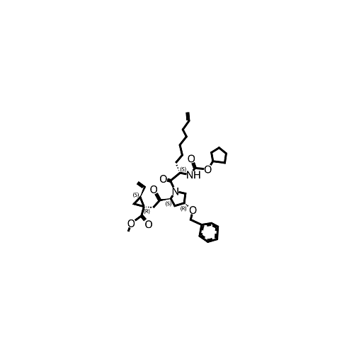 C=CCCCCC[C@H](NC(=O)OC1CCCC1)C(=O)N1C[C@H](OCc2ccccc2)C[C@H]1C(=O)C[C@]1(C(=O)OC)C[C@H]1C=C